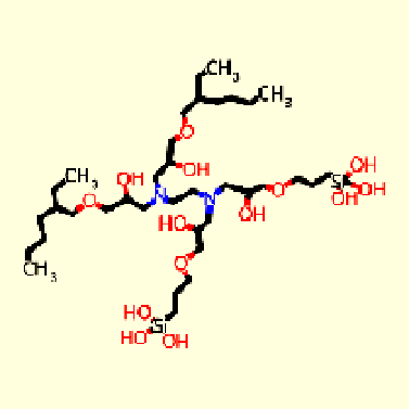 CCCCC(CC)COCC(O)CN(CCN(CC(O)COCCC[Si](O)(O)O)CC(O)COCCC[Si](O)(O)O)CC(O)COCC(CC)CCCC